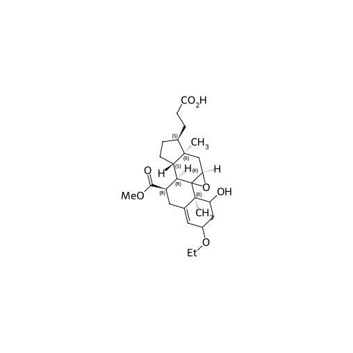 CCOC1C=C2C[C@@H](C(=O)OC)[C@H]3[C@@H]4CC[C@@H](CCC(=O)O)[C@@]4(C)C[C@H]4OC34[C@@]2(C)C(O)C1